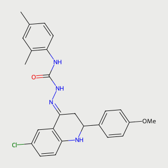 COc1ccc(C2CC(=NNC(=O)Nc3ccc(C)cc3C)c3cc(Cl)ccc3N2)cc1